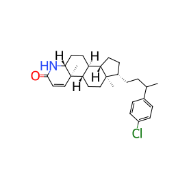 CC(CC[C@H]1CC[C@H]2[C@@H]3CC[C@H]4NC(=O)C=C[C@]4(C)[C@H]3CC[C@]12C)c1ccc(Cl)cc1